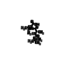 CC(C)CC(NC(=O)[C@H](C)NC(=O)OC(C)(C)C)C(=O)O